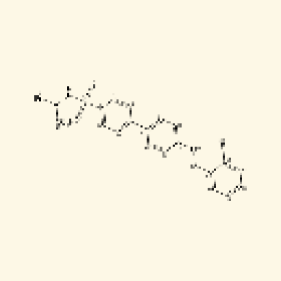 CC(C)C(NS(=O)(=O)c1ccc(-c2ccc(OCc3ccccc3F)cc2)cc1)C(=O)O